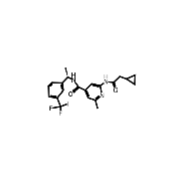 Cc1cc(C(=O)N[C@H](C)c2cccc(C(F)(F)I)c2)cc(NC(=O)CC2CC2)n1